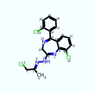 C/C(CCl)=N\NC1=Nc2c(Cl)cccc2C(c2ccccc2Cl)=NC1